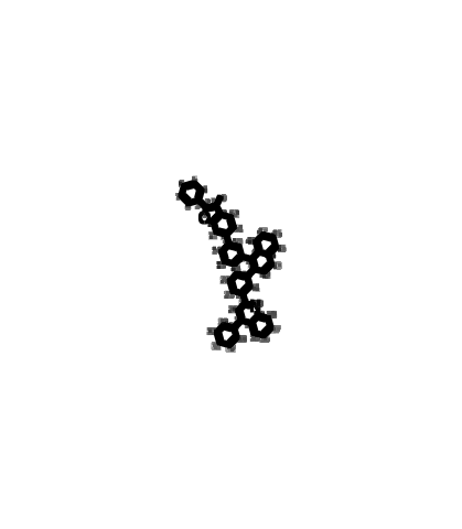 Cc1c(-c2ccccc2)oc2cc(-c3cccc(-c4c(-c5cccc(-c6cc(-c7ccccc7)c7ccccc7n6)c5)ccc5ccccc45)c3)ccc12